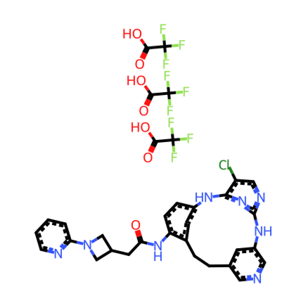 O=C(CC1CN(c2ccccn2)C1)Nc1ccc2cc1CCc1cncc(c1)Nc1ncc(Cl)c(n1)N2.O=C(O)C(F)(F)F.O=C(O)C(F)(F)F.O=C(O)C(F)(F)F